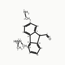 CN.CN.CN.O=CC1c2ccccc2-c2ccccc21